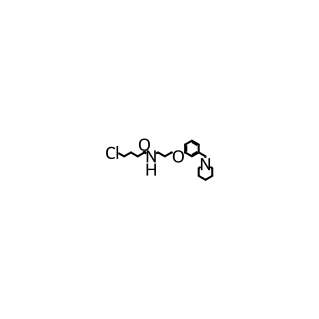 O=C(CCCCl)NCCCOc1cccc(CN2CCCCC2)c1